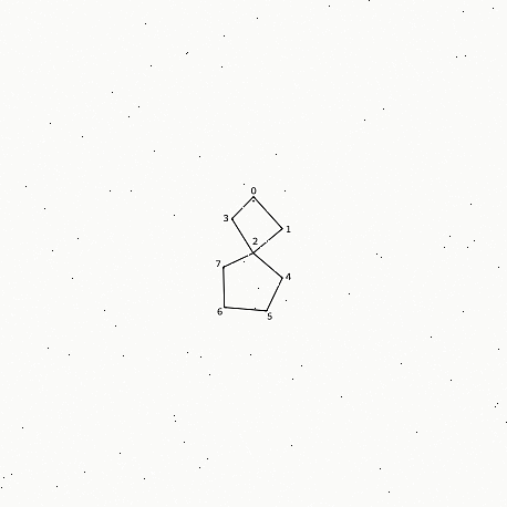 [CH]1CC2(C1)CCCC2